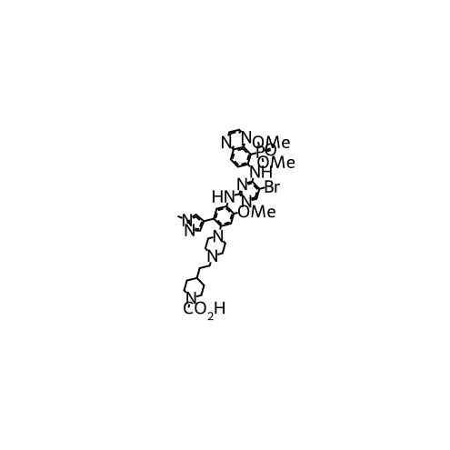 COc1cc(N2CCN(CCC3CCN(C(=O)O)CC3)CC2)c(-c2cnn(C)c2)cc1Nc1ncc(Br)c(Nc2ccc3nccnc3c2P(=O)(OC)OC)n1